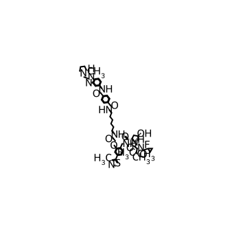 Cc1ncsc1-c1ccc(CNC(=O)[C@@H]2C[C@@H](O)CN2C(=O)[C@@H](NC(=O)C2(F)CC2)C(C)(C)C)c(OCC(=O)NCCCCCCNC(=O)c2ccc(C(=O)Nc3ccc4[nH]c(CN5CCC[C@@H]5C)nc4c3)cc2)c1